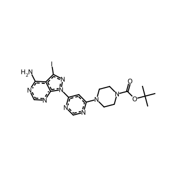 CC(C)(C)OC(=O)N1CCN(c2cc(-n3nc(I)c4c(N)ncnc43)ncn2)CC1